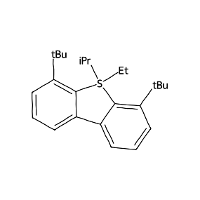 CCS1(C(C)C)c2c(cccc2C(C)(C)C)-c2cccc(C(C)(C)C)c21